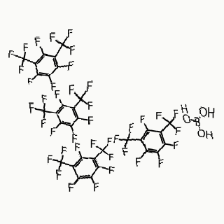 Fc1c(F)c(C(F)(F)F)c(F)c(C(F)(F)F)c1F.Fc1c(F)c(C(F)(F)F)c(F)c(C(F)(F)F)c1F.Fc1c(F)c(C(F)(F)F)c(F)c(C(F)(F)F)c1F.Fc1c(F)c(C(F)(F)F)c(F)c(C(F)(F)F)c1F.OB(O)O